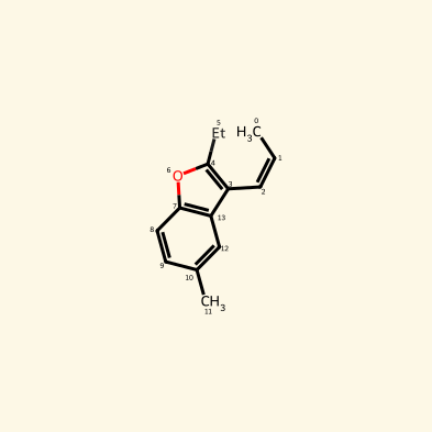 C/C=C\c1c(CC)oc2ccc(C)cc12